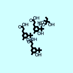 CCC(CO)(CO)CO.Cc1cc(CCC(=O)O)cc(C(C)(C)C)c1O.Cc1cc(CCC(=O)O)cc(C(C)(C)C)c1O.Cc1cc(CCC(=O)O)cc(C(C)(C)C)c1O